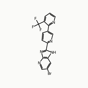 FC(F)(F)c1cccnc1-c1ccc(-c2nc3ncc(Br)cc3[nH]2)nc1